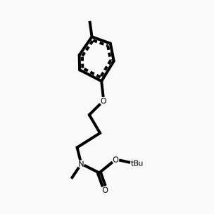 Cc1ccc(OCCCN(C)C(=O)OC(C)(C)C)cc1